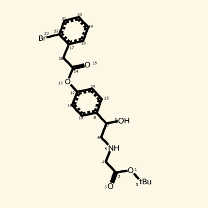 CC(C)(C)OC(=O)CNCC(O)c1ccc(OC(=O)Cc2ccccc2Br)cc1